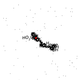 O=C(O)C(OC1CC2(CCN(CCCn3nnc4cc(CNC[C@H](O)c5ccc(O)c6[nH]c(=O)ccc56)ccc43)CC2)C1)(c1cccs1)c1cccs1